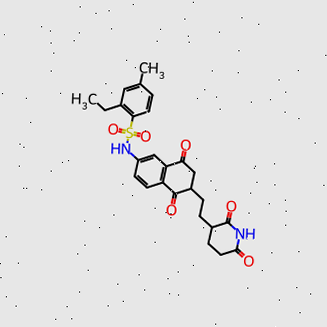 CCc1cc(C)ccc1S(=O)(=O)Nc1ccc2c(c1)C(=O)CC(CCC1CCC(=O)NC1=O)C2=O